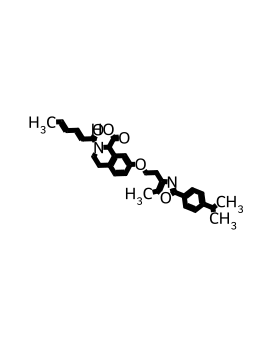 CC=CC=CC(=O)N1CCc2ccc(OCCc3nc(-c4ccc(C(C)C)cc4)oc3C)cc2C1C(=O)O